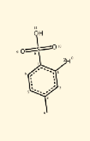 [2H]c1cc(C)ccc1S(=O)(=O)O